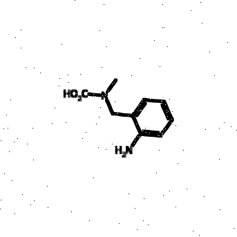 CN(Cc1ccccc1N)C(=O)O